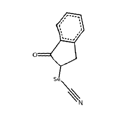 N#C[Se]C1Cc2ccccc2C1=O